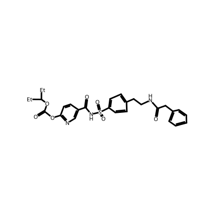 CCC(CC)OC(=O)Oc1ccc(C(=O)NS(=O)(=O)c2ccc(CCNC(=O)Cc3ccccc3)cc2)cn1